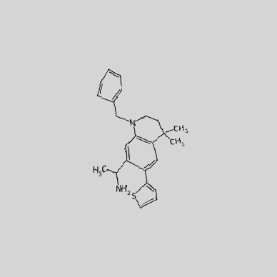 CC(N)c1cc2c(cc1-c1cccs1)C(C)(C)CCN2Cc1ccccc1